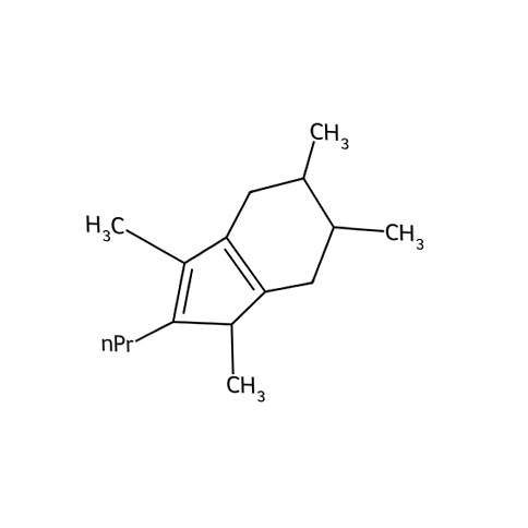 CCCC1=C(C)C2=C(CC(C)C(C)C2)C1C